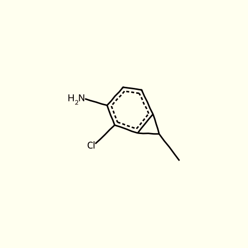 CC1c2ccc(N)c(Cl)c21